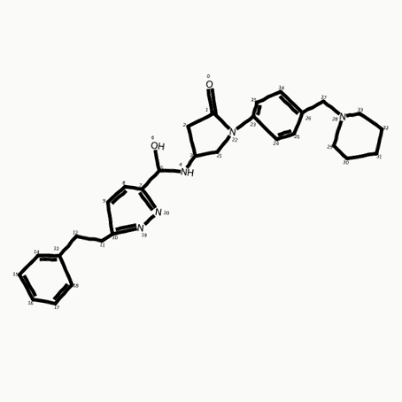 O=C1CC(NC(O)c2ccc(CCc3ccccc3)nn2)CN1c1ccc(CN2CCCCC2)cc1